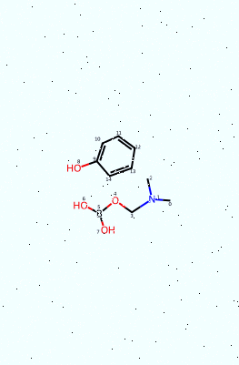 CN(C)COB(O)O.Oc1ccccc1